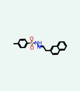 Cc1ccc(S(=O)(=O)NN=CCc2ccc3ccccc3c2)cc1